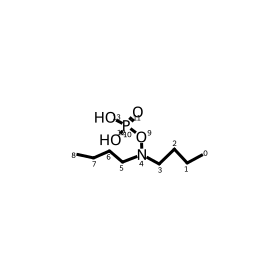 CCCCN(CCCC)OP(=O)(O)O